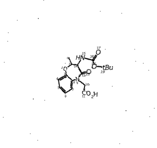 CC1Oc2ccccc2N(CC(=O)O)C(=O)C1NC(=O)OC(C)(C)C